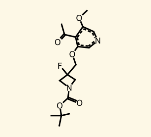 COc1cncc(OCC2(F)CN(C(=O)OC(C)(C)C)C2)c1C(C)=O